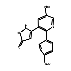 CCCCc1cnc(-c2ccc(OC)cc2)c(-c2cc(=O)[nH][nH]2)c1